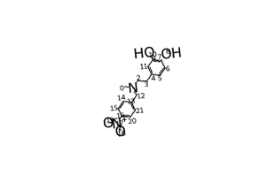 CN(CCc1ccc(O)c(O)c1)Cc1ccc([N+](=O)[O-])cc1